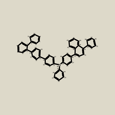 c1ccc(-c2ccccc2-c2ccc(-c3ccc(N(c4ccccc4)c4ccc(-c5ccc(-c6ccccc6)c6ccccc56)cc4)cc3)cc2)cc1